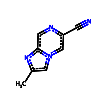 Cc1cn2cc(C#N)ncc2n1